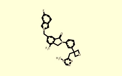 Cn1cnnc1CC1(c2cccc(N3Cc4c(cc(Cn5cc6ccc(F)cc6c5)cc4C(F)(F)F)C3=O)c2)COC1